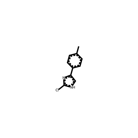 Cc1ccc(-c2c[nH]c(Cl)n2)cc1